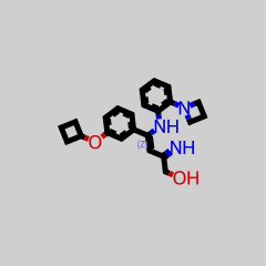 N=C(/C=C(\Nc1ccccc1N1CCC1)c1cccc(OC2CCC2)c1)CO